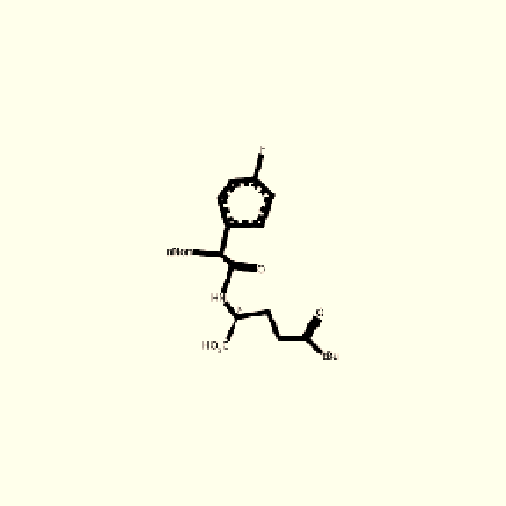 CCCCCCCCCC(C(=O)N[C@@H](CCC(=O)C(C)(C)C)C(=O)O)c1ccc(F)cc1